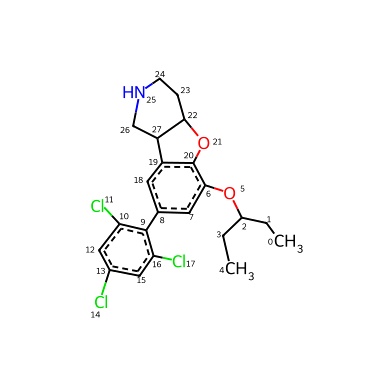 CCC(CC)Oc1cc(-c2c(Cl)cc(Cl)cc2Cl)cc2c1OC1CCNCC21